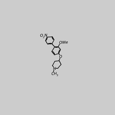 COc1cc(OC2CCN(C)CC2)ccc1-c1ccc([N+](=O)[O-])cc1